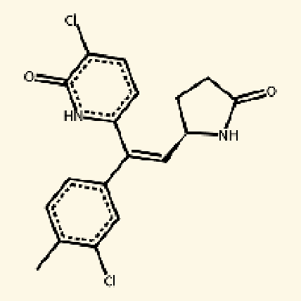 Cc1ccc(C(=C[C@H]2CCC(=O)N2)c2ccc(Cl)c(=O)[nH]2)cc1Cl